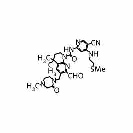 CSCCNc1cc(NC(=O)N2CCC(C)(C)c3cc(CN4CCN(C)CC4=O)c(C=O)nc32)ncc1C#N